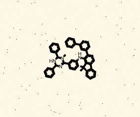 CN1C(c2cccc(Nc3c(-c4cccc(-c5ccccc5)c4)ccc4c3C(C)(C)c3ccccc3-4)c2)=NC(c2ccccc2)NC1c1ccccc1